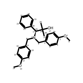 COc1ccc(CN(Cc2ccc(OC)cc2)[C@@H](c2ccccc2)C(C)(C)O)cc1